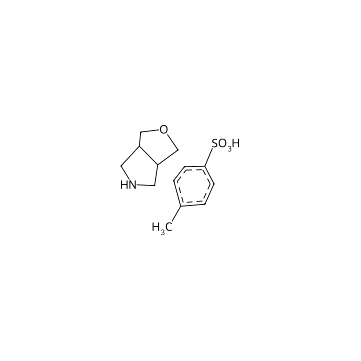 C1NCC2COCC12.Cc1ccc(S(=O)(=O)O)cc1